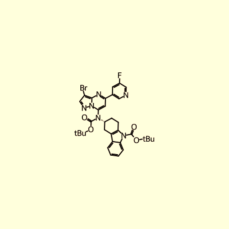 CC(C)(C)OC(=O)N(c1cc(-c2cncc(F)c2)nc2c(Br)cnn12)[C@@H]1CCc2c(c3ccccc3n2C(=O)OC(C)(C)C)C1